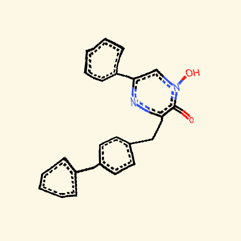 O=c1c(Cc2ccc(-c3ccccc3)cc2)nc(-c2ccccc2)cn1O